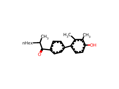 CCCCCCC(C)C(=O)c1ccc(-c2ccc(O)c(C)c2C)cc1